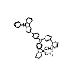 CC1(C)c2cc(N(c3ccc(C4=CC5=C(CC4)N(c4ccccc4)C4C=CC=CC54)cc3)C3C=C(C4C=NC=CC4)C=CC3)ccc2C2C=CCCC21